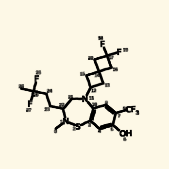 CN1Sc2cc(O)c(C(F)(F)F)cc2N(C2CC3(C2)CC(F)(F)C3)CC1CCC(C)(F)F